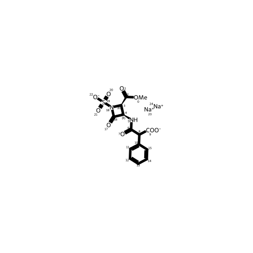 COC(=O)[C@H]1[C@@H](NC(=O)C(C(=O)[O-])c2ccccc2)C(=O)N1S(=O)(=O)[O-].[Na+].[Na+]